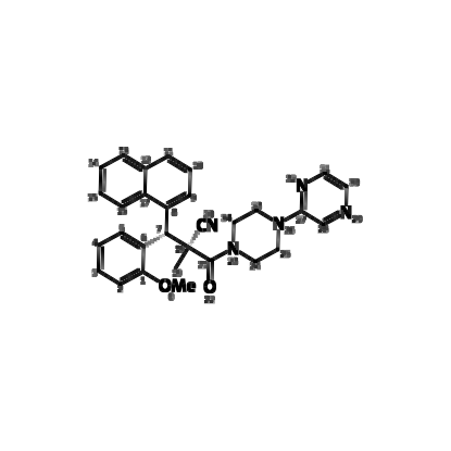 COc1ccccc1[C@H](c1cccc2ccccc12)[C@@](C)(C#N)C(=O)N1CCN(c2cnccn2)CC1